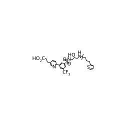 CN(C[C@H](O)CNC(C)(C)CCCc1cccs1)S(=O)(=O)c1cc(-c2ccc(CCC(=O)O)cn2)cc(C(F)(F)F)c1